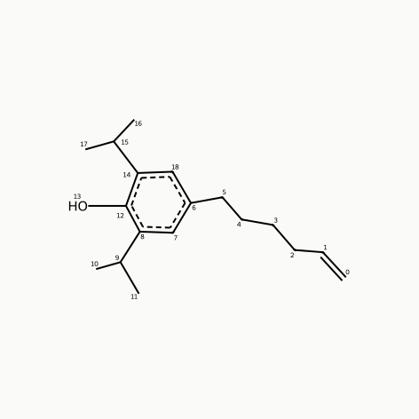 C=CCCCCc1cc(C(C)C)c(O)c(C(C)C)c1